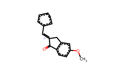 COc1ccc2c(c1)C/C(=C\c1ccccc1)C2=O